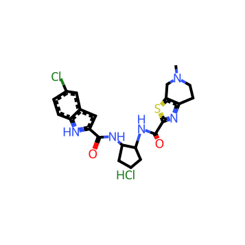 CN1CCc2nc(C(=O)NC3CCCC3NC(=O)c3cc4cc(Cl)ccc4[nH]3)sc2C1.Cl